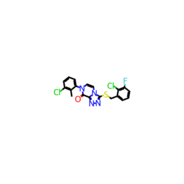 Cc1c(Cl)cccc1-n1ccn2c(SCc3cccc(F)c3Cl)nnc2c1=O